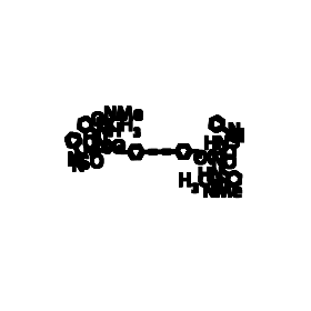 CN[C@@H](C)C(=O)NC(C(=O)N1C[C@@H](OCc2ccc(C#CC#Cc3ccc(COC4C[C@@H](C(=O)Nc5snnc5-c5ccccc5)N(C(=O)[C@@H](NC(=O)[C@H](C)NC)C5CCCCC5)C4)cc3)cc2)C[C@H]1C(=O)Nc1snnc1-c1ccccc1)C1CCCCC1